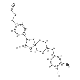 O=COCc1ccc(N2CC3(CCN(Cc4ccc(Cl)c(Br)c4)CC3)OC2=O)cc1